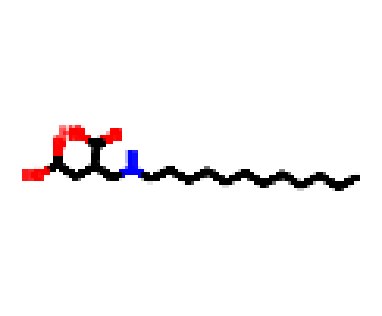 CCCCCCCCCCCCNCC(CC(=O)O)C(=O)O